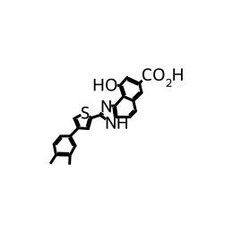 Cc1ccc(-c2csc(-c3nc4c(ccc5cc(C(=O)O)cc(O)c54)[nH]3)c2)cc1C